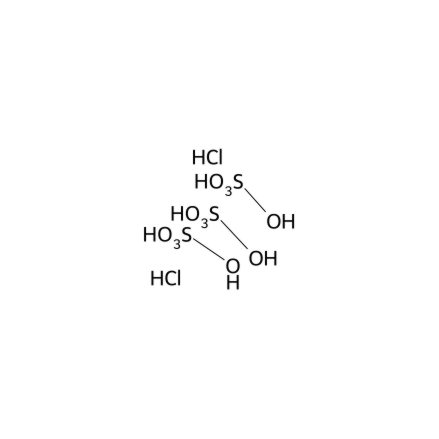 Cl.Cl.O=S(=O)(O)O.O=S(=O)(O)O.O=S(=O)(O)O